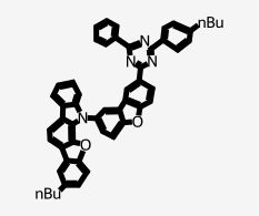 CCCCc1ccc(-c2nc(-c3ccccc3)nc(-c3ccc4oc5ccc(-n6c7ccccc7c7ccc8c9cc(CCCC)ccc9oc8c76)cc5c4c3)n2)cc1